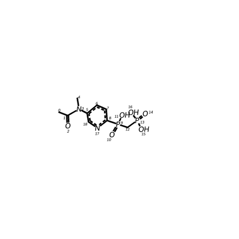 CC(=O)N(C)c1ccc(P(=O)(O)CP(=O)(O)O)nc1